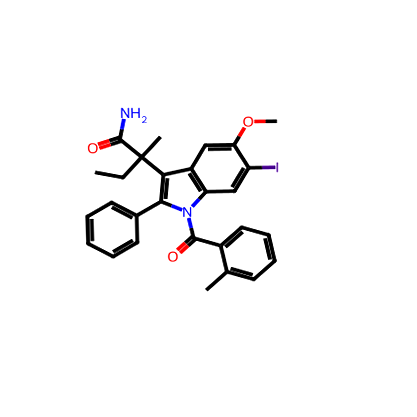 CCC(C)(C(N)=O)c1c(-c2ccccc2)n(C(=O)c2ccccc2C)c2cc(I)c(OC)cc12